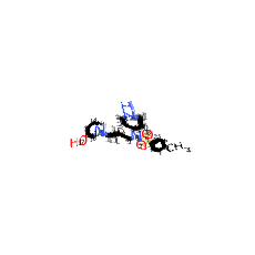 Cc1ccc(S(=O)(=O)N(CCCN2CCCC(O)C2)C2CCNCC2)cc1